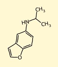 CC(C)Nc1ccc2occc2c1